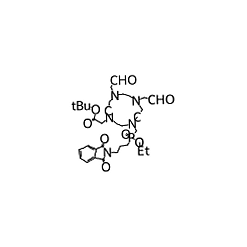 CCOP(=O)(CCCN1C(=O)c2ccccc2C1=O)CN1CCN(CC=O)CCN(CC=O)CCN(CC(=O)OC(C)(C)C)CC1